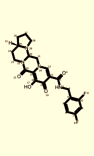 O=C(NCc1ccc(F)cc1F)c1cn2c(c(O)c1=O)C(=O)N1CC[C@@H]3CCCN3C1C2